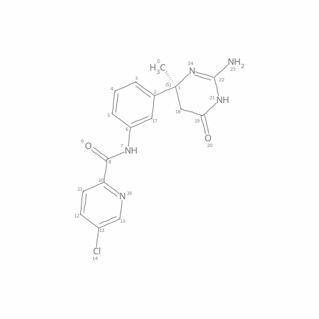 C[C@@]1(c2cccc(NC(=O)c3ccc(Cl)cn3)c2)CC(=O)NC(N)=N1